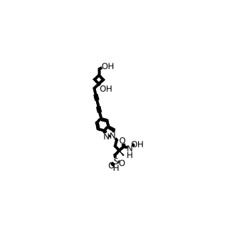 C[C@](CCn1cc2cc(C#CC#CCC3(O)CC(CO)C3)ccc2n1)(C[SH](=O)=O)C(=O)NO